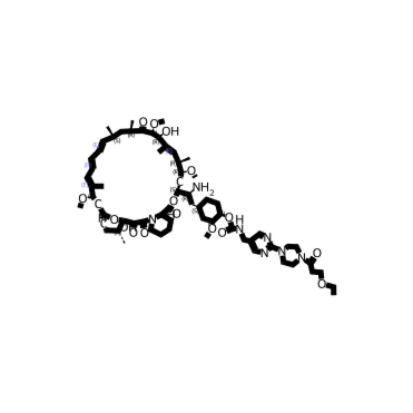 CCOCCC(=O)N1CCN(c2ncc(CNC(=O)O[C@@H]3CC[C@@H](C[C@@H](N)[C@@H]4C[C@@H](OC)[C@H](C)/C=C(\C)[C@@H](O)[C@@H](OC)C(=O)[C@H](C)C[C@H](C)/C=C/C=C/C=C(\C)[C@@H](OC)C[C@@H]5CC[C@@H](C)[C@@](O)(O5)C(=O)C(=O)N5CCCC[C@H]5C(=O)O4)C[C@H]3OC)cn2)CC1